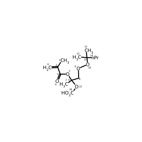 C=C(C)C(=O)OC(C)(COOC(C)(C)CCC)OC(=O)O